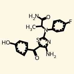 CC(C(N)=O)N(c1ccc(F)cc1)c1nc(N)c(C(=O)c2ccc(O)cc2)s1